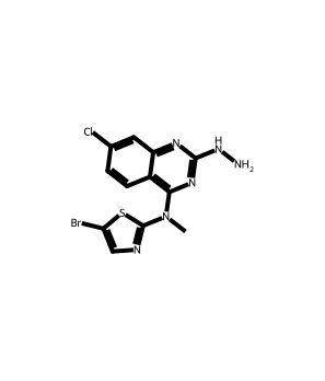 CN(c1ncc(Br)s1)c1nc(NN)nc2cc(Cl)ccc12